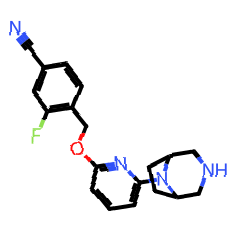 N#Cc1ccc(COc2cccc(N3C4CCC3CNC4)n2)c(F)c1